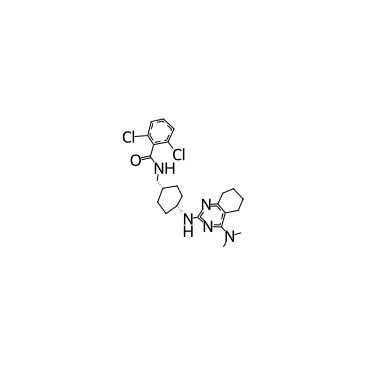 CN(C)c1nc(N[C@H]2CC[C@@H](CNC(=O)c3c(Cl)cccc3Cl)CC2)nc2c1CCCC2